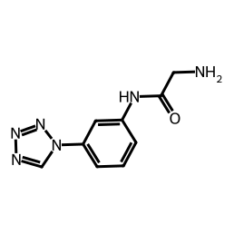 NCC(=O)Nc1cccc(-n2cnnn2)c1